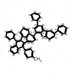 Cc1ccc(-c2c3c(c(-c4ccccc4)c4ccccc24)-c2cccc4c(-c5cc(-c6ccccc6)cc6c5sc5ccc(-c7ccccc7)cc56)ccc-3c24)cc1